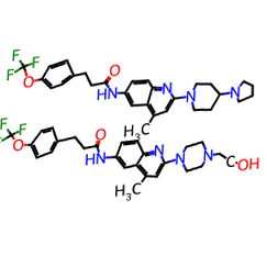 Cc1cc(N2CCC(N3CCCC3)CC2)nc2ccc(NC(=O)CCc3ccc(OC(F)(F)F)cc3)cc12.Cc1cc(N2CCN(CCO)CC2)nc2ccc(NC(=O)CCc3ccc(OC(F)(F)F)cc3)cc12